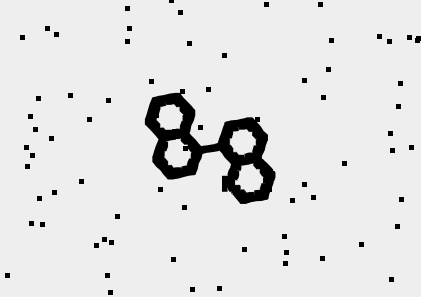 c1ccc2c(-c3cccc4cccnc34)cccc2c1